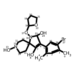 Cc1cc(C)c(C2=C(O)C3(CCN(O)CC3)N(OC3CCCO3)C2O)cc1Br